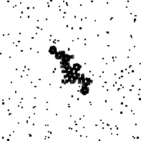 CC[C@H](N)CC(=O)N(C(=O)C(=O)NS(=O)(=O)c1cc(Cl)cc(S(=O)(=O)NC(=O)c2ccccc2)c1)C(=O)[C@H](CC1CCCCC1)NC(=O)[C@@H](NC(=O)[C@H](CC(C)C)NC(=O)c1cnccn1)[C@@H](C)CC